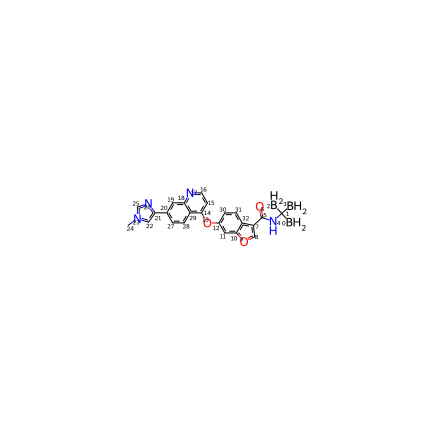 BC(B)(B)NC(=O)c1coc2cc(Oc3ccnc4cc(-c5cn(C)cn5)ccc34)ccc12